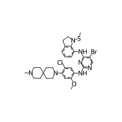 COc1cc(N2CCC3(CCN(C)CC3)CC2)c(Cl)cc1Nc1ncc(Br)c(Nc2cccc3c2N(SC)CC3)n1